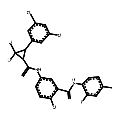 C=C(Nc1ccc(C)cc1F)c1cc(NC(=C)C2C(c3cc(Cl)cc(Cl)c3)C2(Cl)Cl)ccc1Cl